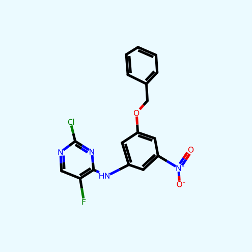 O=[N+]([O-])c1cc(Nc2nc(Cl)ncc2F)cc(OCc2ccccc2)c1